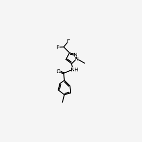 Cc1ccc(C(=O)Nc2cc(C(F)F)nn2C)cc1